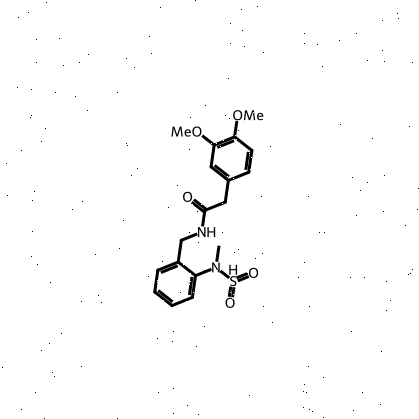 COc1ccc(CC(=O)NCc2ccccc2N(C)[SH](=O)=O)cc1OC